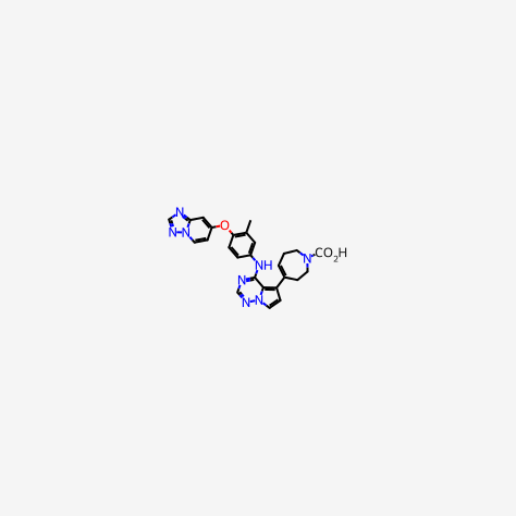 Cc1cc(Nc2ncnn3ccc(C4=CCCN(C(=O)O)CC4)c23)ccc1Oc1ccn2ncnc2c1